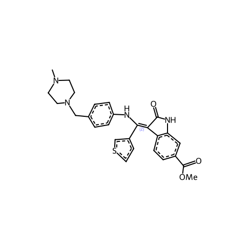 COC(=O)c1ccc2c(c1)NC(=O)/C2=C(\Nc1ccc(CN2CCN(C)CC2)cc1)c1ccsc1